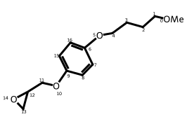 COCCCCOc1ccc(OCC2CO2)cc1